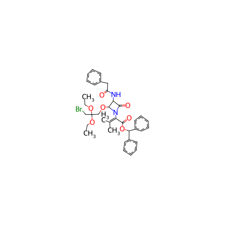 CCOC(CBr)(COC1C(NC(=O)Cc2ccccc2)C(=O)N1C(C(=O)OC(c1ccccc1)c1ccccc1)=C(C)C)OCC